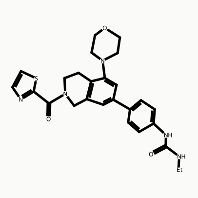 CCNC(=O)Nc1ccc(-c2cc3c(c(N4CCOCC4)c2)CCN(C(=O)c2nccs2)C3)cc1